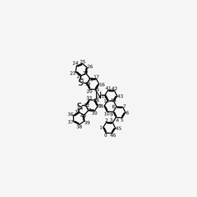 c1ccc(-c2cccc3c2ccc2c(N(c4ccc5c(c4)sc4ccccc45)c4ccc5c(c4)sc4ccccc45)cccc23)cc1